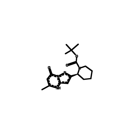 Cc1cc(=O)n2nc([C@@H]3CCCCN3C(=O)OC(C)(C)C)cc2[nH]1